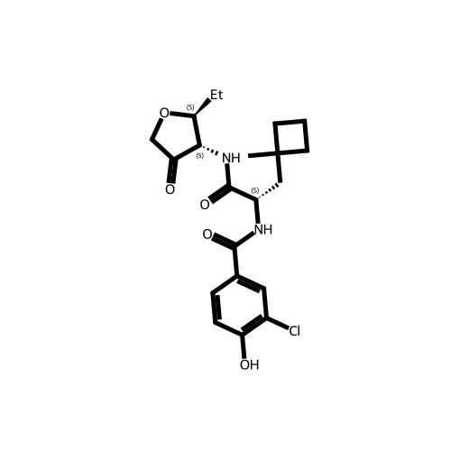 CC[C@@H]1OCC(=O)[C@H]1NC(=O)[C@H](CC1(C)CCC1)NC(=O)c1ccc(O)c(Cl)c1